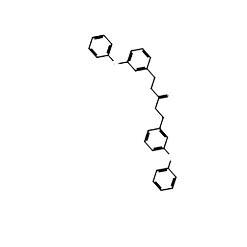 O=C(CCc1cccc(Oc2ccccc2)c1)CCc1cccc(Oc2ccccc2)c1